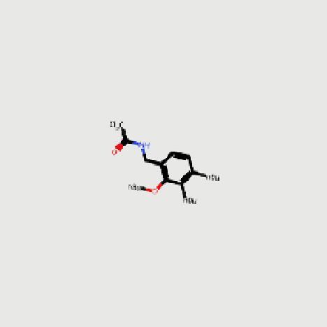 CCCCOc1c(CNC(=O)C(Cl)(Cl)Cl)ccc(CCCC)c1CCCC